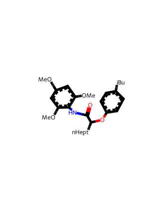 CCCCCCCC(Oc1ccc(C(C)CC)cc1)C(=O)Nc1c(OC)cc(OC)cc1OC